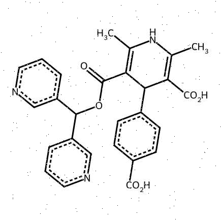 CC1=C(C(=O)O)C(c2ccc(C(=O)O)cc2)C(C(=O)OC(c2cccnc2)c2cccnc2)=C(C)N1